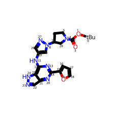 CC(C)(C)OC(=O)N1CCC(n2cc(Nc3nc(-c4ccco4)nc4cn[nH]c34)cn2)C1